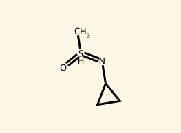 C/[SH](=O)=N/C1CC1